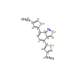 CCCCCCc1csc(-c2ccc(-c3cc(CCCCCC)cs3)c3nscc23)c1